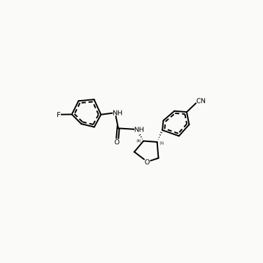 N#Cc1ccc([C@@H]2COC[C@@H]2NC(=O)Nc2ccc(F)cc2)cc1